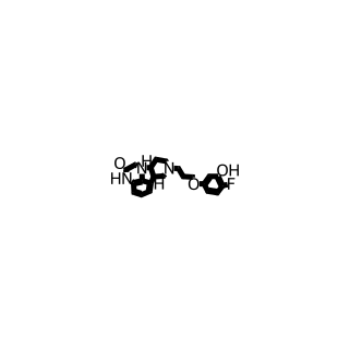 O=C1CN2c3c(cccc3[C@@H]3CN(CCCOc4ccc(F)c(O)c4)CC[C@@H]32)N1